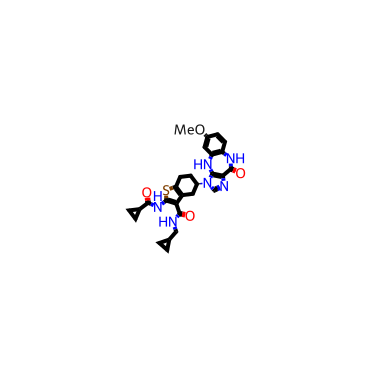 COc1ccc2c(c1)Nc1c(ncn1[C@H]1CCc3sc(NC(=O)C4CC4)c(C(=O)NCC4CC4)c3C1)C(=O)N2